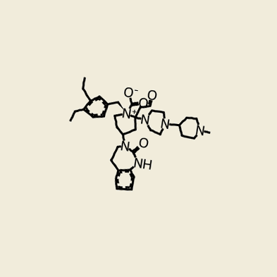 CCc1ccc(C[N@+]2(C(=O)[O-])CCC(N3CCc4ccccc4NC3=O)CC2(CC=O)N2CCN(C3CCN(C)CC3)CC2)cc1CC